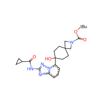 CC(C)(C)OC(=O)N1CC2(CCC(O)(c3cccc4nc(NC(=O)C5CC5)nn34)CC2)C1